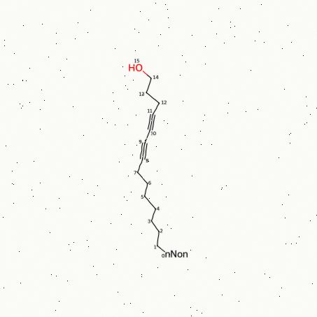 CCCCCCCCCCCCCCCCC#CC#CCCCO